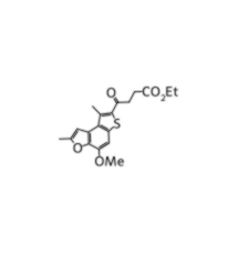 CCOC(=O)CCC(=O)c1sc2cc(OC)c3oc(C)cc3c2c1C